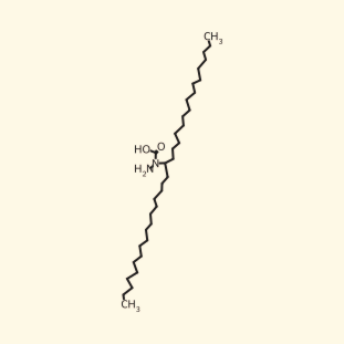 CCCCCCCCCCCCCCCCCC(CCCCCCCCCCCCCCCC)N(N)C(=O)O